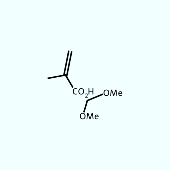 C=C(C)C(=O)O.COCOC